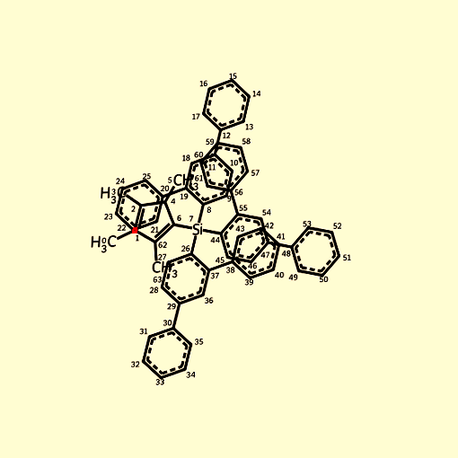 CC1=C(C)C(C)C([Si](c2ccc(-c3ccccc3)cc2-c2ccccc2)(c2ccc(-c3ccccc3)cc2-c2ccccc2)c2ccc(-c3ccccc3)cc2-c2ccccc2)=C1C